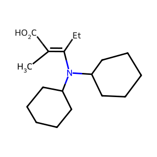 CC/C(=C(/C)C(=O)O)N(C1CCCCC1)C1CCCCC1